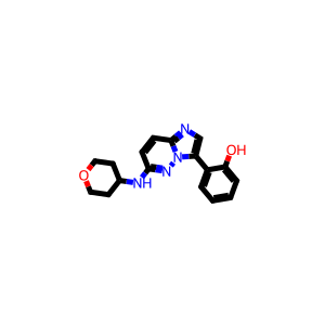 Oc1ccccc1-c1cnc2ccc(NC3CCOCC3)nn12